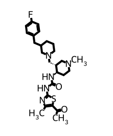 CC(=O)c1sc(NC(=O)N[C@@H]2CCN(C)C[C@H]2CN2CCCC(Cc3ccc(F)cc3)C2)nc1C